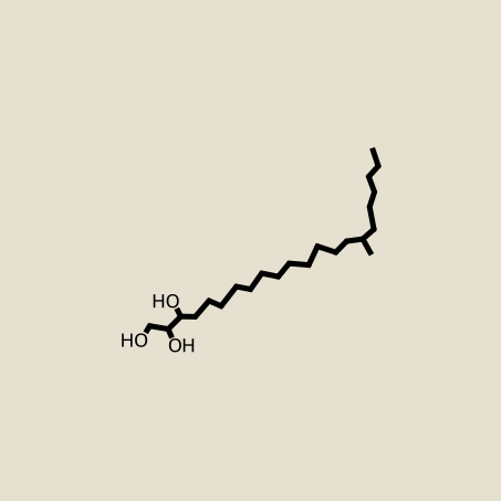 CCCCCCC(C)CCCCCCCCCCCCC(O)C(O)CO